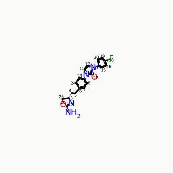 NC1=N[C@@H](CCc2ccc(-n3ccn(-c4ccc(F)cc4)c3=O)cc2)CO1